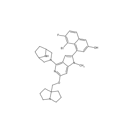 CCc1c(F)ccc2cc(O)cc(-c3cc4c(N5CC6CCC(C5)N6)nc(OCC56CCCN5CCC6)cc4n3C)c12